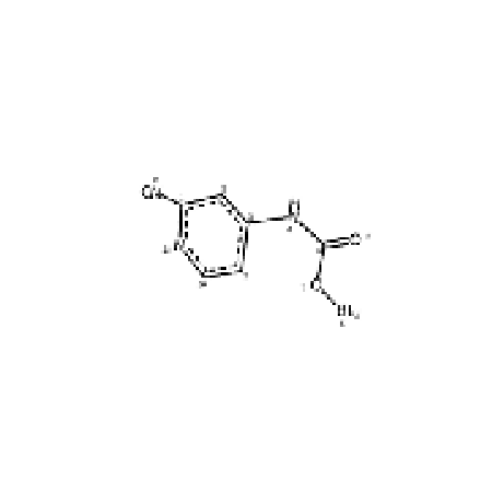 [C-]#[N+]c1cc(NC(=O)OC(C)(C)C)ccn1